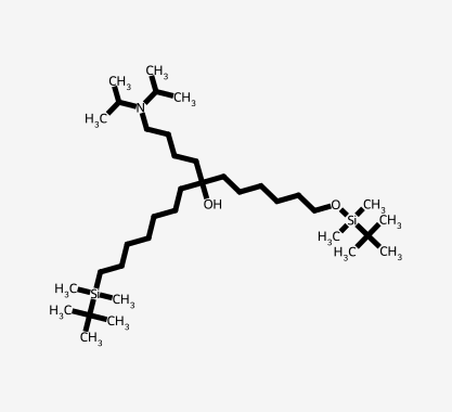 CC(C)N(CCCCC(O)(CCCCCCC[Si](C)(C)C(C)(C)C)CCCCCCO[Si](C)(C)C(C)(C)C)C(C)C